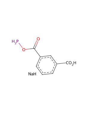 O=C(O)c1cccc(C(=O)OP)c1.[NaH]